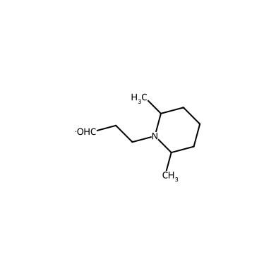 CC1CCCC(C)N1CC[C]=O